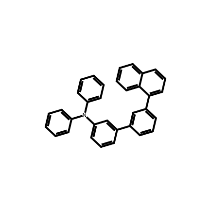 c1ccc(N(c2ccccc2)c2cccc(-c3cccc(-c4cccc5ccccc45)c3)c2)cc1